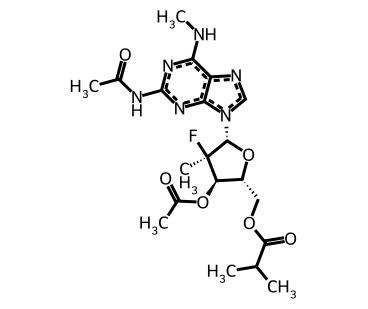 CNc1nc(NC(C)=O)nc2c1ncn2[C@@H]1O[C@H](COC(=O)C(C)C)[C@@H](OC(C)=O)[C@@]1(C)F